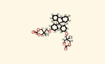 CCC1(COc2ccc(C3(c4ccc(OCC5(CC)COC(=O)OC5)cc4)c4ccccc4-c4ccccc43)cc2)COC(=O)OC1